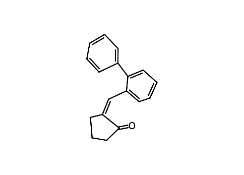 O=C1CCCC1=Cc1ccccc1-c1ccccc1